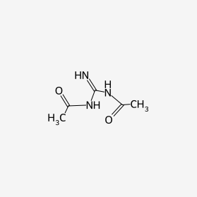 CC(=O)NC(=N)NC(C)=O